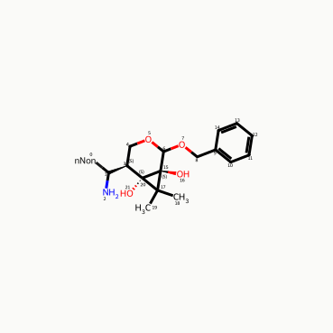 CCCCCCCCCC(N)[C@H]1COC(OCc2ccccc2)[C@]2(O)C(C)(C)[C@@]12O